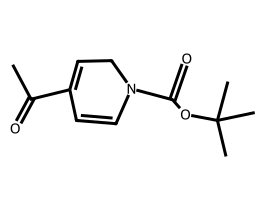 CC(=O)C1=CCN(C(=O)OC(C)(C)C)C=C1